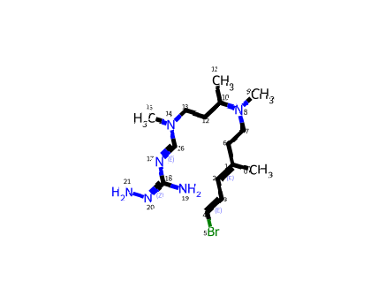 C/C(=C\C=C\Br)CCN(C)C(C)CCN(C)/C=N/C(N)=N\N